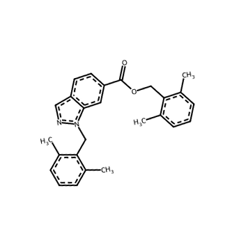 Cc1cccc(C)c1COC(=O)c1ccc2cnn(Cc3c(C)cccc3C)c2c1